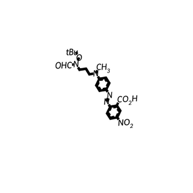 CN(CCCN(C=O)OC(C)(C)C)c1ccc(/N=N/c2ccc([N+](=O)[O-])cc2C(=O)O)cc1